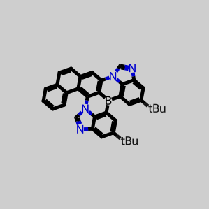 CC(C)(C)c1cc2c3c(c1)ncn3-c1cc3ccc4ccccc4c3c3c1B2c1cc(C(C)(C)C)cc2ncn-3c12